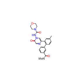 CNC(=O)c1cccc(-c2ccc(C)cc2-c2cn(NC(=O)N3CCOCC3)c(=O)cn2)c1